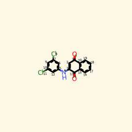 O=C1C=C(Nc2cc(Cl)cc(Cl)c2)C(=O)c2ccccc21